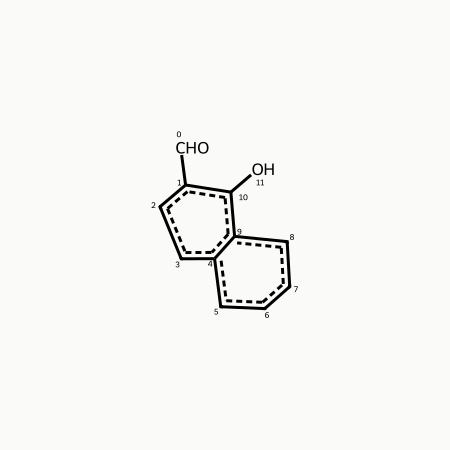 O=Cc1ccc2ccccc2c1O